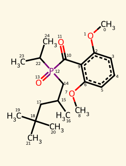 COc1cccc(OC)c1C(=O)P(=O)(CC(C)CC(C)(C)C)C(C)C